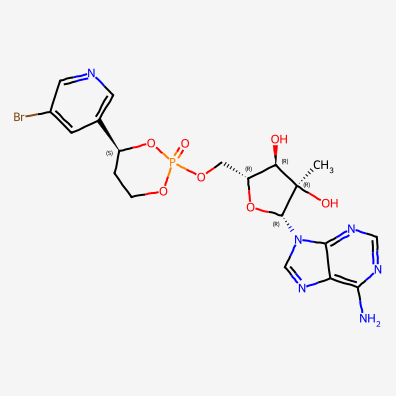 C[C@@]1(O)[C@H](O)[C@@H](COP2(=O)OCC[C@@H](c3cncc(Br)c3)O2)O[C@H]1n1cnc2c(N)ncnc21